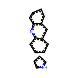 c1cc[nH]c1.c1ccc2nc3ccccc3cc2c1